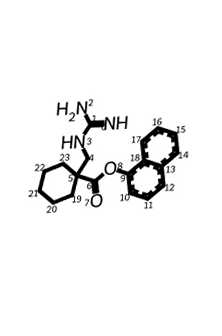 N=C(N)NCC1(C(=O)Oc2cccc3ccccc23)CCCCC1